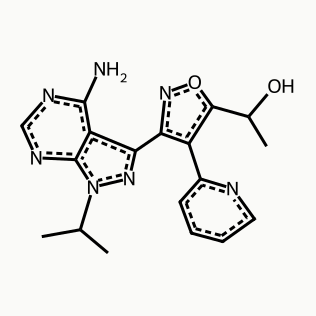 CC(O)c1onc(-c2nn(C(C)C)c3ncnc(N)c23)c1-c1ccccn1